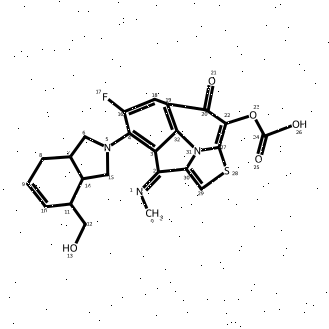 CN=c1c2c(N3CC4CC=CC(CO)C4C3)c(F)cc3c(=O)c(OC(=O)O)c4scc1n4c32